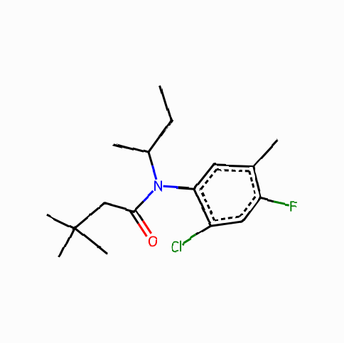 CCC(C)N(C(=O)CC(C)(C)C)c1cc(C)c(F)cc1Cl